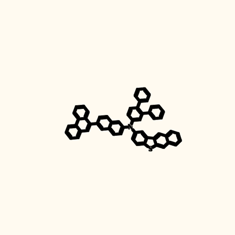 c1ccc(-c2ccc(N(c3ccc4cc(-c5cc6ccccc6c6ccccc56)ccc4c3)c3ccc4sc5cc6ccccc6cc5c4c3)cc2-c2ccccc2)cc1